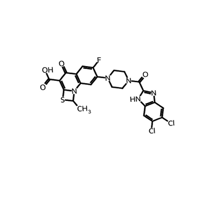 CC1Sc2c(C(=O)O)c(=O)c3cc(F)c(N4CCN(C(=O)c5nc6cc(Cl)c(Cl)cc6[nH]5)CC4)cc3n21